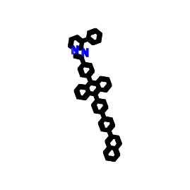 c1ccc(-c2cccn3cc(-c4ccc(-c5c6ccccc6c(-c6ccc(-c7ccc(-c8ccc9ccccc9c8)cc7)cc6)c6ccccc56)cc4)nc23)cc1